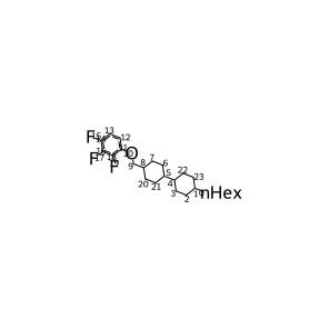 CCCCCCC1CCC(C2CCC(COc3ccc(F)c(F)c3F)CC2)CC1